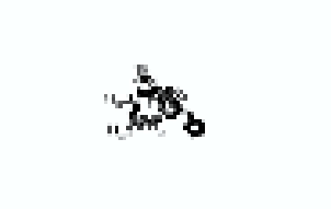 CCc1nc(NNC(=O)[C@@H](CC2CCCC2)CN(O)C=O)c(F)c(N(C)CCN(C)C)n1